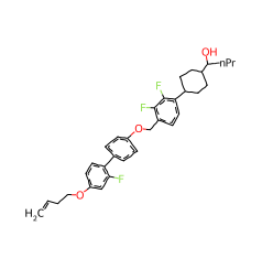 C=CCCOc1ccc(-c2ccc(OCc3ccc(C4CCC(C(O)CCC)CC4)c(F)c3F)cc2)c(F)c1